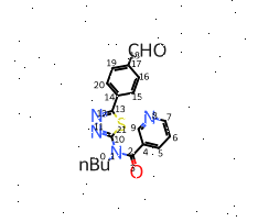 CCCCN(C(=O)c1cccnc1)c1nnc(-c2ccc(C=O)cc2)s1